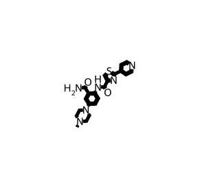 CN1CCN(c2ccc(NC(=O)c3csc(-c4ccncc4)n3)c(C(N)=O)c2)CC1